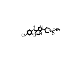 [C-]#[N+]c1ccc(Nc2ncnc3c2cnn3C2CCN(C(=O)OC(C)C)CC2)c(Cl)c1